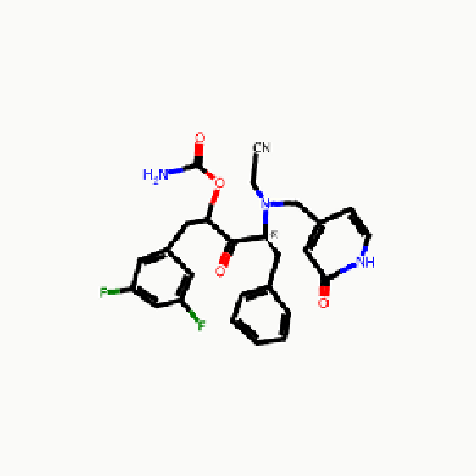 N#CCN(Cc1cc[nH]c(=O)c1)[C@@H](Cc1ccccc1)C(=O)C(Cc1cc(F)cc(F)c1)OC(N)=O